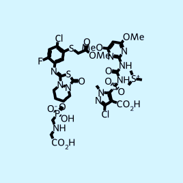 COC(=O)CSc1cc(/N=c2\sc(=O)n3n2CCCC3)c(F)cc1Cl.COc1cc(OC)nc(NC(=O)NS(=O)(=O)c2c(C(=O)O)c(Cl)nn2C)n1.C[S+](C)C.O=C(O)CNCP(=O)([O-])O